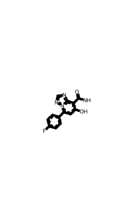 [NH]C(=O)c1c(O)cc(-c2ccc(F)cc2)n2ncnc12